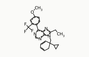 CCc1nc2c(-c3ccc(OC)cc3C(F)(F)F)ncnc2n1CC1(C2CC2)C=CC=CC1